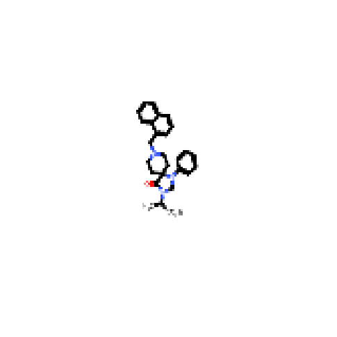 CCOC(=O)C(C)N1CN(c2ccccc2)C2(CCN(Cc3cccc4ccccc34)CC2)C1=O